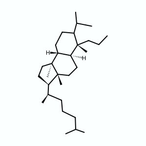 CCC[C@@]1(C)C(C(C)C)CC[C@@H]2[C@@H]1CC[C@]1(C)[C@@H]([C@H](C)CCCC(C)C)CC[C@@]21C